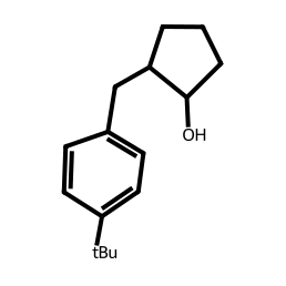 CC(C)(C)c1ccc(CC2CCCC2O)cc1